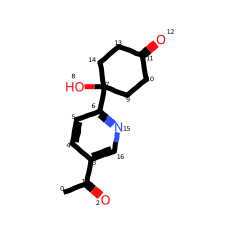 CC(=O)c1ccc(C2(O)CCC(=O)CC2)nc1